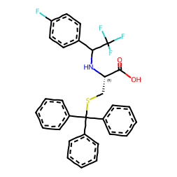 O=C(O)[C@H](CSC(c1ccccc1)(c1ccccc1)c1ccccc1)NC(c1ccc(F)cc1)C(F)(F)F